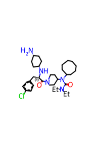 CCN(CC)C(=O)N(C1CCCCCCC1)C1CCN(C(=O)[C@@H](Cc2ccc(Cl)cc2)N[C@H]2CC[C@@H](N)CC2)CC1